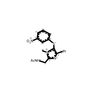 CC(=O)NCc1nc(C(C)C)c(Sc2cccc([N+](=O)[O-])c2)n1C